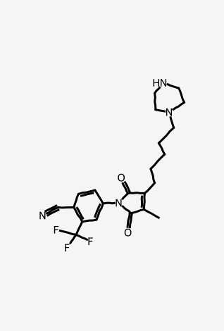 CC1=C(CCCCCN2CCNCC2)C(=O)N(c2ccc(C#N)c(C(F)(F)F)c2)C1=O